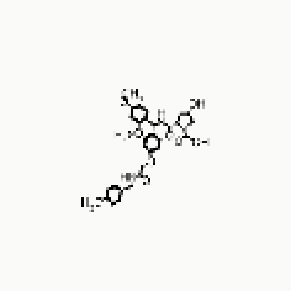 COc1ccc(C(NC(=O)[C@@H]2C[C@@H](O)CN2C(=O)O)c2ccc(OCC(=O)NCc3ccc(C)cc3)cc2)c(OC)c1